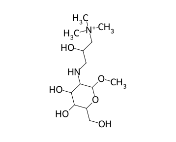 COC1OC(CO)C(O)C(O)C1NCC(O)C[N+](C)(C)C